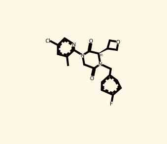 Cc1cc(Cl)cnc1N1CC(=O)N(Cc2ccc(F)cc2)[C@H](C2COC2)C1=O